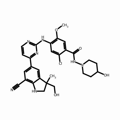 COc1cc(C(=O)NN2CCC(O)CC2)c(Cl)cc1Nc1nccc(-c2cc(C#N)c3c(c2)C(C)(CO)CN3)n1